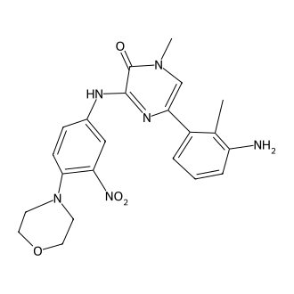 Cc1c(N)cccc1-c1cn(C)c(=O)c(Nc2ccc(N3CCOCC3)c([N+](=O)[O-])c2)n1